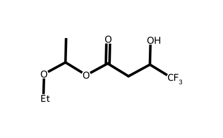 CCOC(C)OC(=O)CC(O)C(F)(F)F